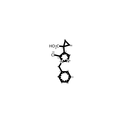 O=C(O)C1(c2cnn(Cc3ccccc3)c2Cl)CC1